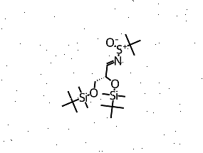 CC(C)(C)[S@+]([O-])/N=C/[C@@H](CO[Si](C)(C)C(C)(C)C)O[Si](C)(C)C(C)(C)C